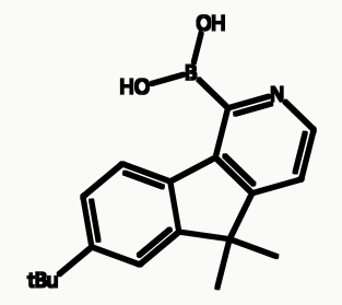 CC(C)(C)c1ccc2c(c1)C(C)(C)c1ccnc(B(O)O)c1-2